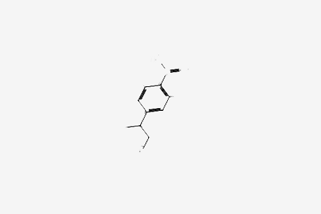 CC(C)(C)CC(c1ccc(S(=O)O)cc1)C(C)(C)C